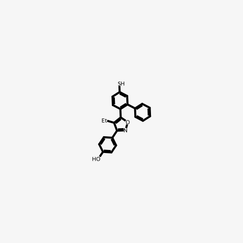 CCc1c(-c2ccc(O)cc2)noc1-c1ccc(S)cc1-c1ccccc1